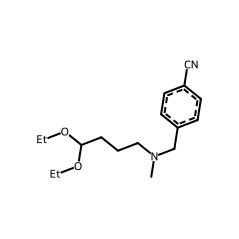 CCOC(CCCN(C)Cc1ccc(C#N)cc1)OCC